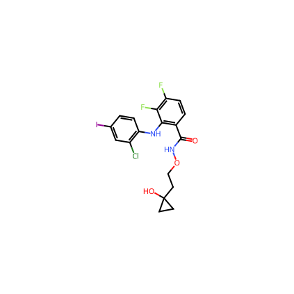 O=C(NOCCC1(O)CC1)c1ccc(F)c(F)c1Nc1ccc(I)cc1Cl